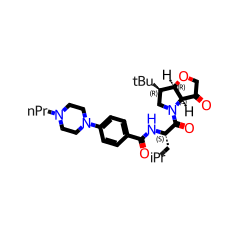 CCCN1CCN(c2ccc(C(=O)N[C@@H](CC(C)C)C(=O)N3C[C@@H](C(C)(C)C)[C@H]4OCC(=O)[C@H]43)cc2)CC1